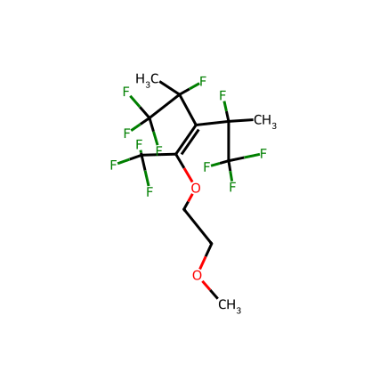 COCCOC(=C(C(C)(F)C(F)(F)F)C(C)(F)C(F)(F)F)C(F)(F)F